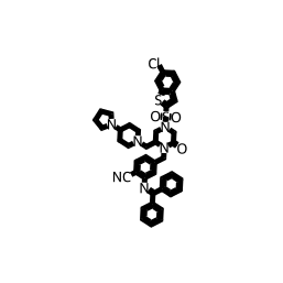 N#Cc1ccc(CN2C(=O)CN(S(=O)(=O)c3cc4ccc(Cl)cc4s3)CC2CN2CCC(N3CCCC3)CC2)cc1N=C(c1ccccc1)c1ccccc1